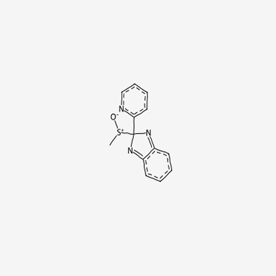 C[S+]([O-])C1(c2ccccn2)N=c2ccccc2=N1